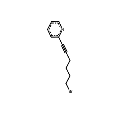 BrCCCCC#Cc1ccccn1